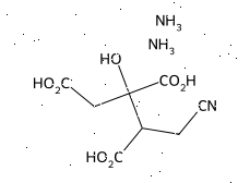 N.N.N#CCC(C(=O)O)C(O)(CC(=O)O)C(=O)O